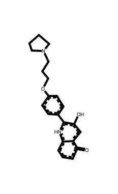 O=c1cccc2[nH]c(-c3ccc(OCCCN4CCCC4)cc3)c(O)cc1-2